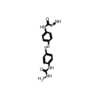 N=PC(=O)Nc1ccc(SSc2ccc(NC(=O)NP)cc2)cc1